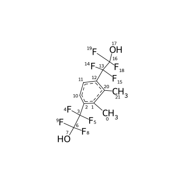 Cc1c(C(F)(F)C(O)(F)F)ccc(C(F)(F)C(O)(F)F)c1C